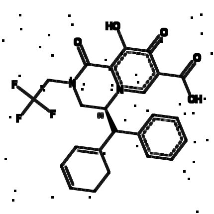 O=C(O)c1cn2c(c(O)c1=O)C(=O)N(CC(F)(F)F)C[C@@H]2C(C1=CC=CCC1)c1ccccc1